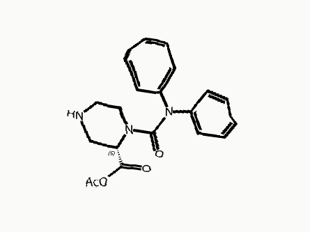 CC(=O)OC(=O)[C@@H]1CNCCN1C(=O)N(c1ccccc1)c1ccccc1